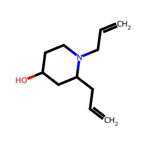 C=CCC1CC(O)CCN1CC=C